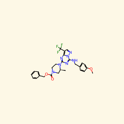 COc1ccc(CNc2nc(N3CCN(C(=O)OCc4ccccc4)C[C@@H]3C)nc3c(C(F)(F)F)cnn23)cc1